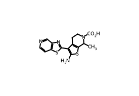 CC1c2sc(N)c(-c3nc4cnccc4s3)c2CCN1C(=O)O